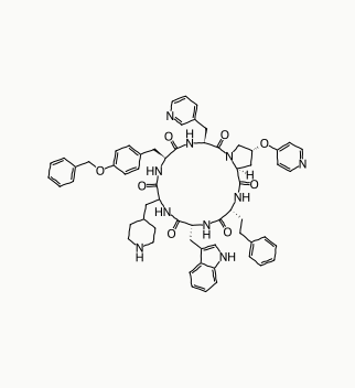 O=C1N[C@@H](Cc2ccc(OCc3ccccc3)cc2)C(=O)N[C@@H](Cc2cccnc2)C(=O)N2C[C@H](Oc3ccncc3)C[C@H]2C(=O)N[C@H](CCc2ccccc2)C(=O)N[C@H](Cc2c[nH]c3ccccc23)C(=O)NC1CC1CCNCC1